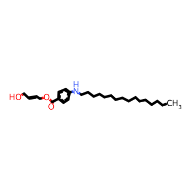 CCCCCCCCCCCCCCCCNc1ccc(C(=O)OC/C=C/CO)cc1